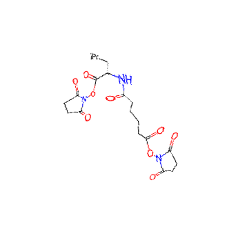 CC(C)C[C@H](NC(=O)CCCCC(=O)ON1C(=O)CCC1=O)C(=O)ON1C(=O)CCC1=O